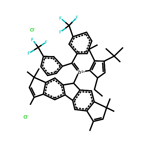 CCC1=[C]([Zr+2](=[C](c2cccc(C(F)(F)F)c2)c2cccc(C(F)(F)F)c2)[CH]2c3cc4c(cc3-c3cc5c(cc32)C(C)(C)C=C5C)C(C)=CC4(C)C)C(CC)C=C1C(C)(C)C.[Cl-].[Cl-]